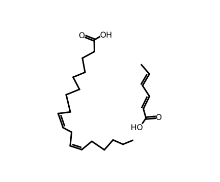 CC=CC=CC(=O)O.CCCCC/C=C\C/C=C\CCCCCCCC(=O)O